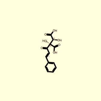 O=C(O)[C@@H](O)[C@@](O)(C(=O)O)C(=O)/C=C/c1ccccc1